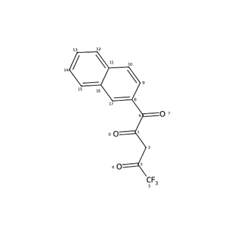 O=C(CC(=O)C(F)(F)F)C(=O)c1ccc2ccccc2c1